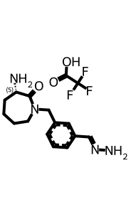 NN=Cc1cccc(CN2CCCC[C@H](N)C2=O)c1.O=C(O)C(F)(F)F